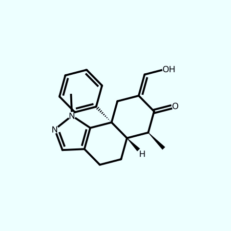 C[C@@H]1C(=O)C(=CO)C[C@]2(c3ccccc3)c3c(cnn3C)CC[C@@H]12